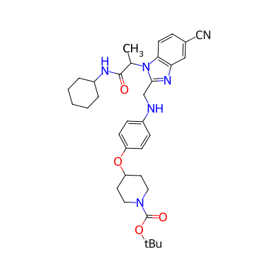 CC(C(=O)NC1CCCCC1)n1c(CNc2ccc(OC3CCN(C(=O)OC(C)(C)C)CC3)cc2)nc2cc(C#N)ccc21